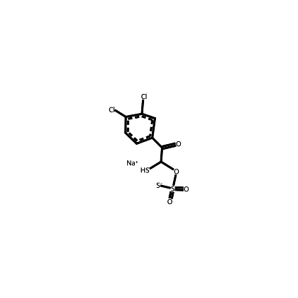 O=C(c1ccc(Cl)c(Cl)c1)C(S)OS(=O)(=O)[S-].[Na+]